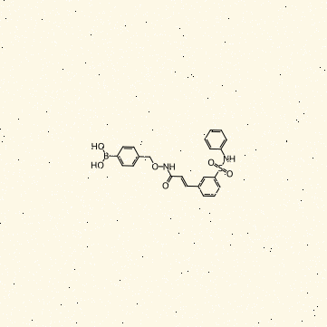 O=C(/C=C/c1cccc(S(=O)(=O)Nc2ccccc2)c1)NOCc1ccc(B(O)O)cc1